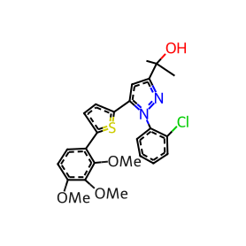 COc1ccc(-c2ccc(-c3cc(C(C)(C)O)nn3-c3ccccc3Cl)s2)c(OC)c1OC